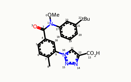 CON(C(=O)c1ccc(C)c(-n2cc(C(=O)O)nn2)c1)c1cccc(C(C)(C)C)c1